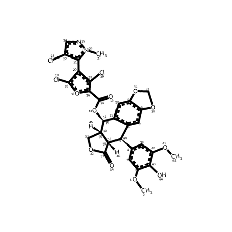 COc1cc([C@@H]2c3cc4c(cc3[C@H](OC(=O)c3oc(Cl)c(-c5c(Cl)cnn5C)c3Cl)[C@H]3COC(=O)[C@@H]23)OCO4)cc(OC)c1O